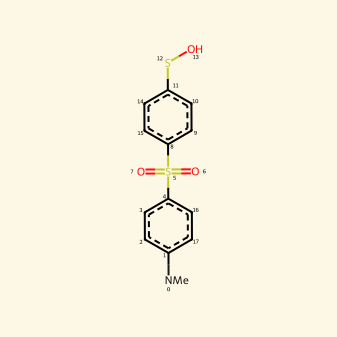 CNc1ccc(S(=O)(=O)c2ccc(SO)cc2)cc1